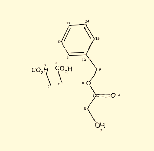 CC(=O)O.CC(=O)O.O=C(CO)OCc1ccccc1